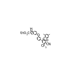 CCOC(=O)c1cc2cc(Oc3cccc(-c4cc(C(F)(F)F)c(C#N)c(=O)n4Cc4ccc(C)cc4C)c3)ccc2[nH]1